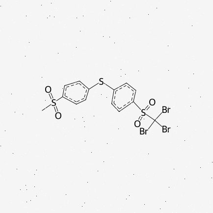 CS(=O)(=O)c1ccc(Sc2ccc(S(=O)(=O)C(Br)(Br)Br)cc2)cc1